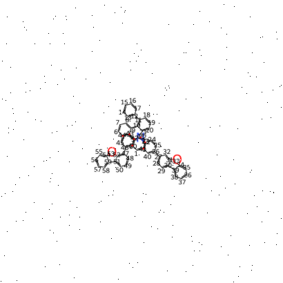 c1ccc(-c2ccccc2-c2c(-c3ccccc3)cccc2N(c2ccc(-c3ccc4c(c3)oc3ccccc34)cc2)c2cccc(-c3cccc4c3oc3ccccc34)c2)cc1